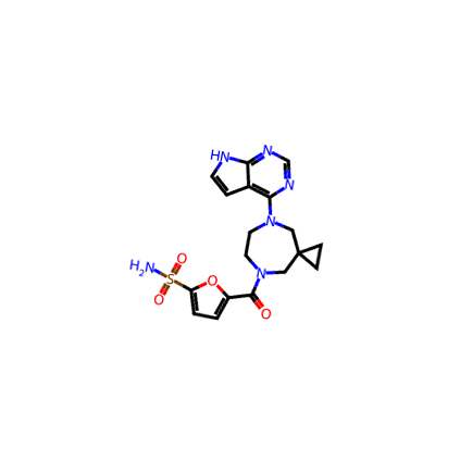 NS(=O)(=O)c1ccc(C(=O)N2CCN(c3ncnc4[nH]ccc34)CC3(CC3)C2)o1